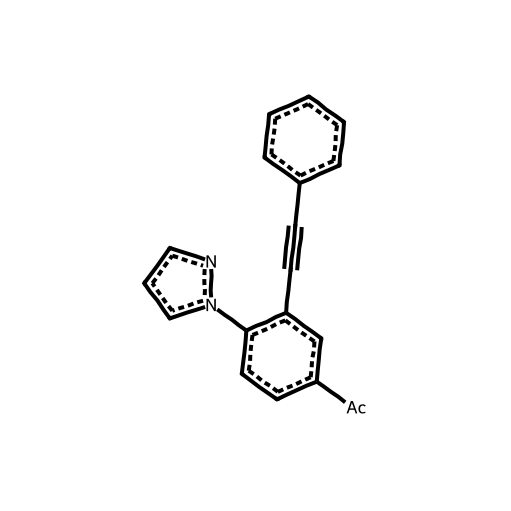 CC(=O)c1ccc(-n2cccn2)c(C#Cc2ccccc2)c1